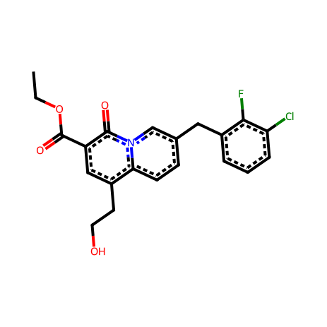 CCOC(=O)c1cc(CCO)c2ccc(Cc3cccc(Cl)c3F)cn2c1=O